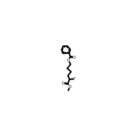 COC(=O)C(F)CCCCOC(=O)c1ccccc1